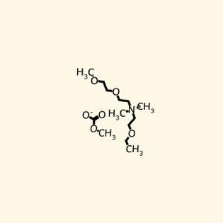 CCOCC[N+](C)(C)CCOCCOC.COC(=O)[O-]